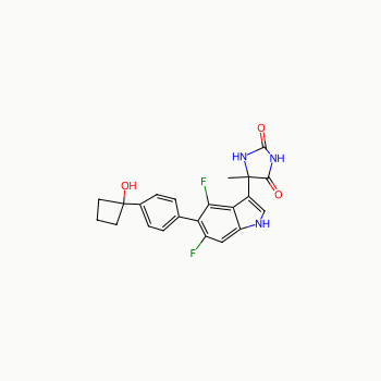 CC1(c2c[nH]c3cc(F)c(-c4ccc(C5(O)CCC5)cc4)c(F)c23)NC(=O)NC1=O